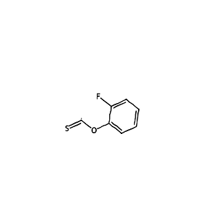 Fc1ccccc1O[C]=S